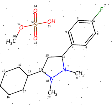 CN1C(c2ccc(F)cc2)CC(C2CCCCC2)N1C.COS(=O)(=O)O